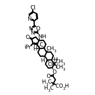 CC(C)C1=C2[C@H]3CC[C@@H]4[C@@]5(C)CC[C@H](OC(=O)CC(C)(C)C(=O)O)C(C)(C)[C@@H]5CC[C@@]4(C)[C@]3(C)CC[C@@]2(Nc2nnc(-c3ccc(Cl)cn3)o2)CC1=O